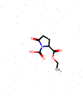 CCOC(=O)C1CCC(=O)N1C(=O)O